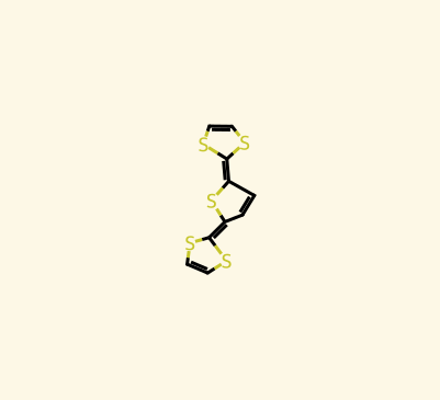 C1=CSC(=c2ccc(=C3SC=CS3)s2)S1